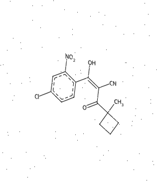 CC1(C(=O)C(C#N)=C(O)c2ccc(Cl)cc2[N+](=O)[O-])CCC1